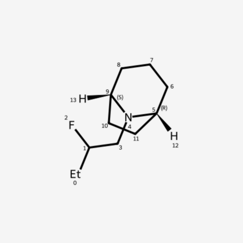 CCC(F)CN1[C@@H]2CCC[C@H]1CC2